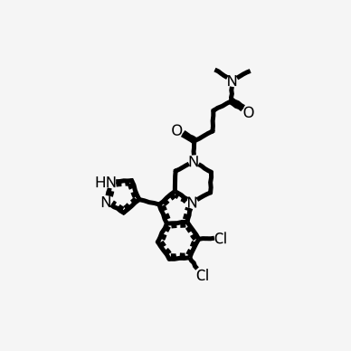 CN(C)C(=O)CCC(=O)N1CCn2c(c(-c3cn[nH]c3)c3ccc(Cl)c(Cl)c32)C1